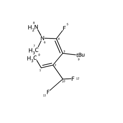 C/C=C(\C(=C(\F)N(C)N)C(C)(C)C)C(F)F